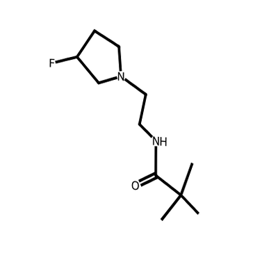 CC(C)(C)C(=O)NCCN1CCC(F)C1